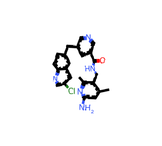 Cc1cc(N)nc(C)c1CNC(=O)c1cncc(Cc2ccc3ncc(Cl)cc3c2)c1